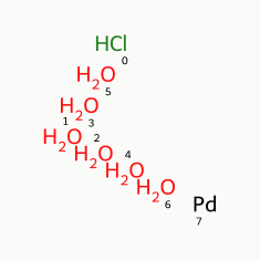 Cl.O.O.O.O.O.O.[Pd]